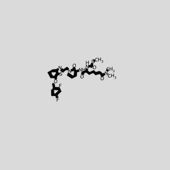 COC(=O)NC(CC/C=C/C(=O)N(C)C)C(=O)Nc1cccn(Cc2nc3cccc(OCc4ccc(F)cc4F)c3s2)c1=O